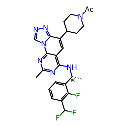 CC(=O)N1CCC(c2cc3c(N[C@H](C)c4cccc(C(F)F)c4F)nc(C)nc3n3cnnc23)CC1